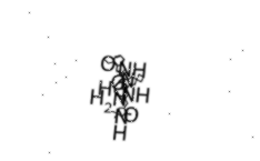 COc1cccc2[nH]c(C(=O)N3CC4(CCC4)CC3C(O)NC(N)CC3CC(C)(C)NC3=O)cc12